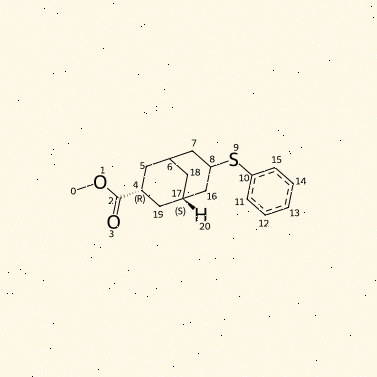 COC(=O)[C@@H]1CC2CC(Sc3ccccc3)C[C@@H](C2)C1